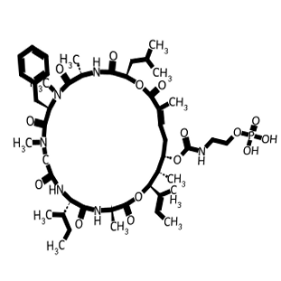 C/C=C(\C)[C@H]1OC(=O)[C@@H](C)NC(=O)[C@H](C(C)CC)NC(=O)CN(C)C(=O)[C@@H](Cc2ccccc2)N(C)C(=O)[C@H](C)NC(=O)[C@@H](CC(C)C)OC(=O)/C(C)=C/C[C@H](OC(=O)NCCOP(=O)(O)O)[C@@H]1C